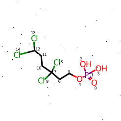 O=P(O)(O)OCCC(Cl)(Cl)CCC(Cl)Cl